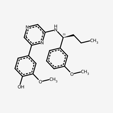 CCC[C@H](Nc1cncc(-c2ccc(O)c(OC)c2)n1)c1cccc(OC)c1